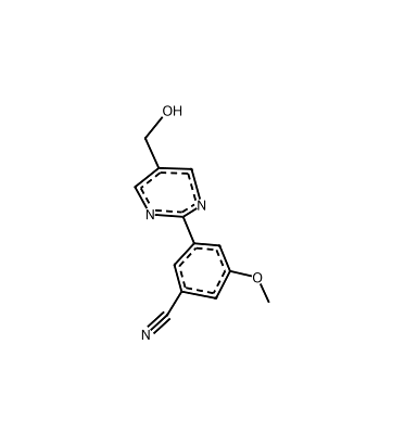 COc1cc(C#N)cc(-c2ncc(CO)cn2)c1